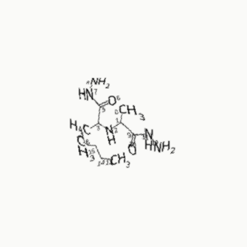 CC(NC(C)C(=O)NN)C(=O)NN.CCCC